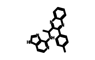 Cc1ccc(-c2nc3ccccc3nc2C(C)Nc2nccc3[nH]cnc23)cc1